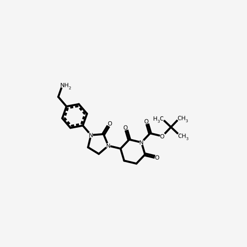 CC(C)(C)OC(=O)N1C(=O)CCC(N2CCN(c3ccc(CN)cc3)C2=O)C1=O